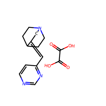 C(=C1CN2CCC1CC2)c1ccncn1.O=C(O)C(=O)O